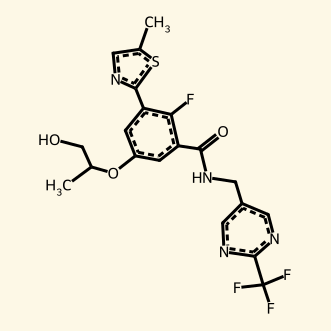 Cc1cnc(-c2cc(OC(C)CO)cc(C(=O)NCc3cnc(C(F)(F)F)nc3)c2F)s1